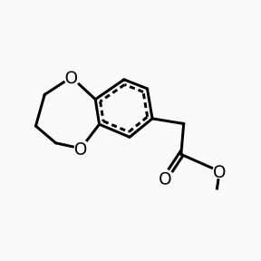 COC(=O)Cc1ccc2c(c1)OCCCO2